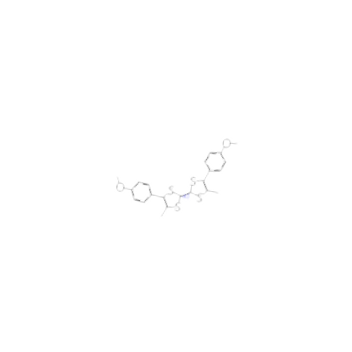 COc1ccc(C2=C(C)S/C(=C3\SC(C)=C(c4ccc(OC)cc4)S3)S2)cc1